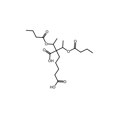 CCCC(=O)OC(C)C(CCCCC(=O)O)(C(=O)O)C(C)OC(=O)CCC